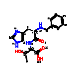 C[C@@H](O)[C@H](NC(=O)[C@H](Cc1c[nH]cn1)NCc1ccccc1)C(=O)O